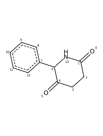 O=C1CCC(=O)C(c2ccccc2)N1